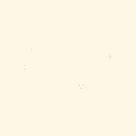 COCC1(c2ccc(Cl)c(Cl)c2)CCOC(C=O)CO1